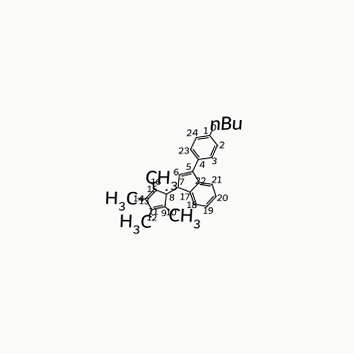 CCCCc1ccc(C2=CC([C]3C(C)=C(C)C(C)=C3C)c3ccccc32)cc1